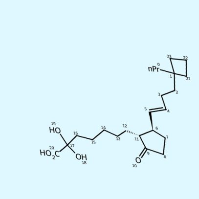 CCCC1(CC/C=C/[C@H]2CCC(=O)[C@@H]2CCCCCC(O)(O)C(=O)O)CCC1